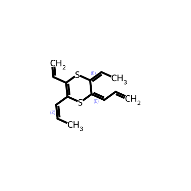 C=C/C=C1/SC(/C=C\C)=C(C=C)S/C1=C/C